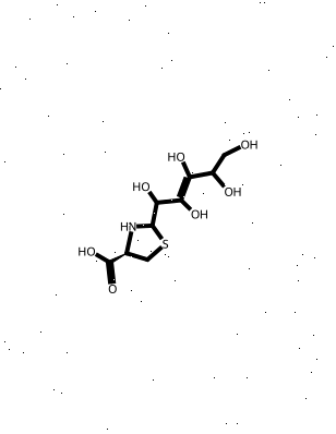 O=C(O)[C@@H]1CSC(C(O)/C(O)=C(\O)C(O)CO)N1